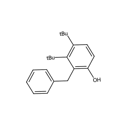 CC(C)(C)c1ccc(O)c(Cc2ccccc2)c1C(C)(C)C